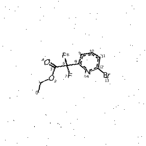 CCOC(=O)C(F)(F)c1cccc(Br)n1